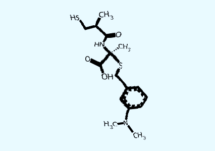 CC(CS)C(=O)N[C@@](C)(SCc1cccc(N(C)C)c1)C(=O)O